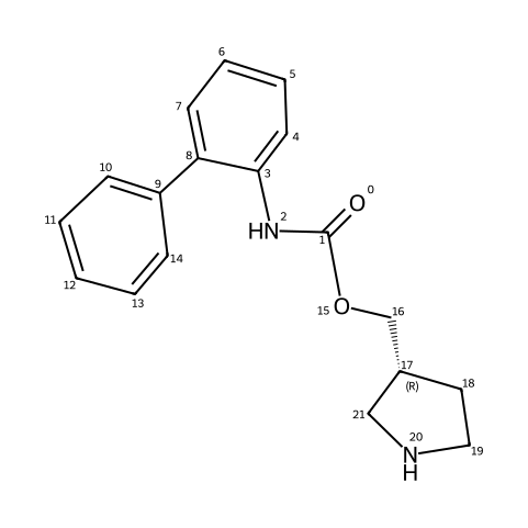 O=C(Nc1ccccc1-c1ccccc1)OC[C@@H]1CCNC1